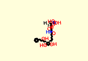 CC(COC(=O)CNC(=O)CCC/C=C\C[C@@H]1[C@@H](CC[C@@H](O)CCc2ccccc2)[C@H](O)C[C@@H]1O)ON(O)O